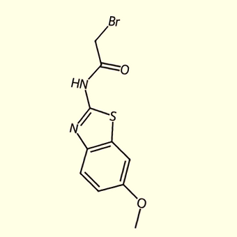 COc1ccc2nc(NC(=O)CBr)sc2c1